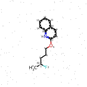 C[C@H](F)CCCOc1ccc2ccccc2n1